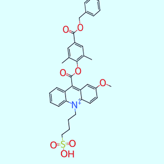 COc1ccc2c(c1)c(C(=O)Oc1c(C)cc(C(=O)OCc3ccccc3)cc1C)c1ccccc1[n+]2CCCCS(=O)(=O)O